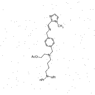 CCCN(CCC)CCCCN(CCOC(C)=O)Cc1ccc(CN=Cc2nccn2C)cc1